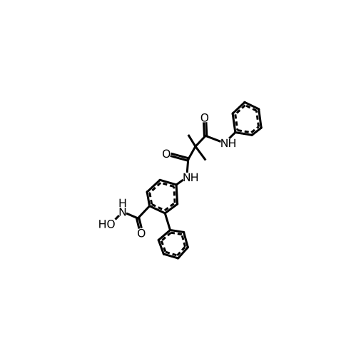 CC(C)(C(=O)Nc1ccccc1)C(=O)Nc1ccc(C(=O)NO)c(-c2ccccc2)c1